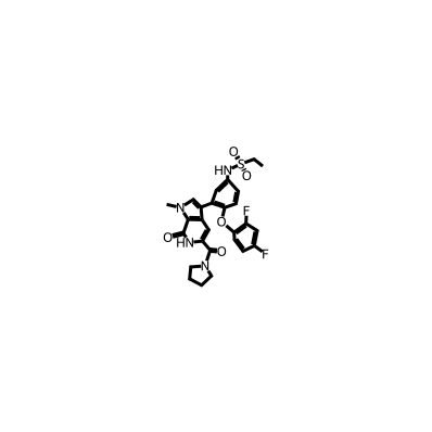 CCS(=O)(=O)Nc1ccc(Oc2ccc(F)cc2F)c(-c2cn(C)c3c(=O)[nH]c(C(=O)N4CCCC4)cc23)c1